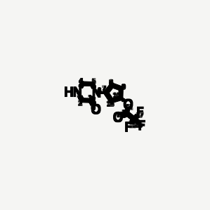 O=C1CNCCN1[C@@H]1CC[C@@H](OC(=O)C(F)(F)F)C1